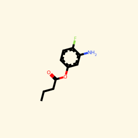 CCCC(=O)Oc1ccc(F)c(N)c1